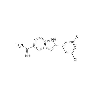 N=C(N)c1ccc2[nH]c(-c3cc(Cl)cc(Cl)c3)cc2c1